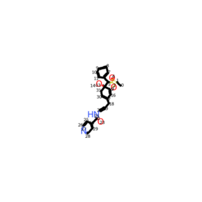 CCS(=O)(=O)C(c1ccccc1)C1(OC)C=CC(CC#CNC(=O)c2ccncc2)=CC1